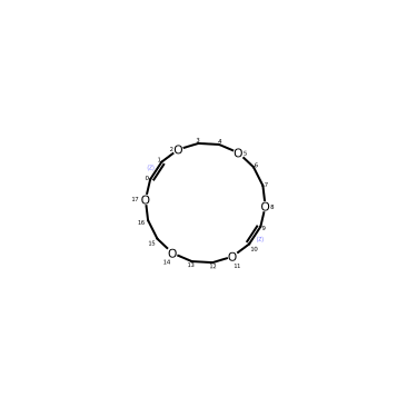 C1=C\OCCOCCO/C=C\OCCOCCO/1